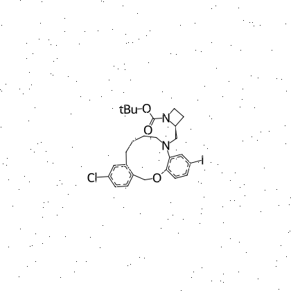 CC(C)(C)OC(=O)N1CC[C@H]1CN1CCCCc2cc(Cl)ccc2COc2ccc(I)cc21